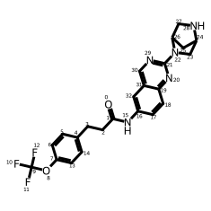 O=C(CCc1ccc(OC(F)(F)F)cc1)Nc1ccc2nc(N3CC4CC3CN4)ncc2c1